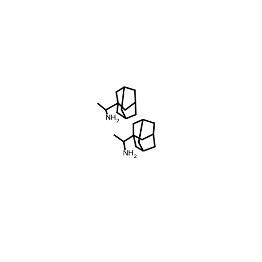 CC(N)C12CC3CC(CC(C3)C1)C2.CC(N)C12CC3CC(CC(C3)C1)C2